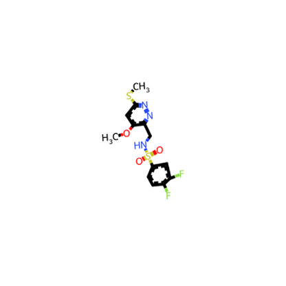 COc1cc(SC)nnc1CNS(=O)(=O)c1ccc(F)c(F)c1